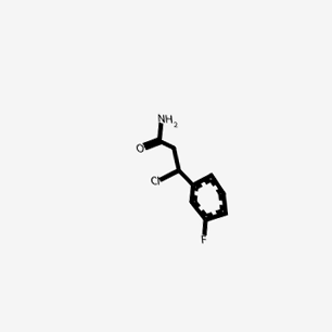 NC(=O)CC(Cl)c1cccc(F)c1